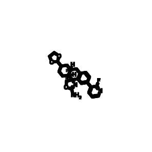 NC1=NC2(CO1)c1cc(-c3cccnc3F)ccc1C[C@H]1CC(C3OCCO3)CC[C@H]12